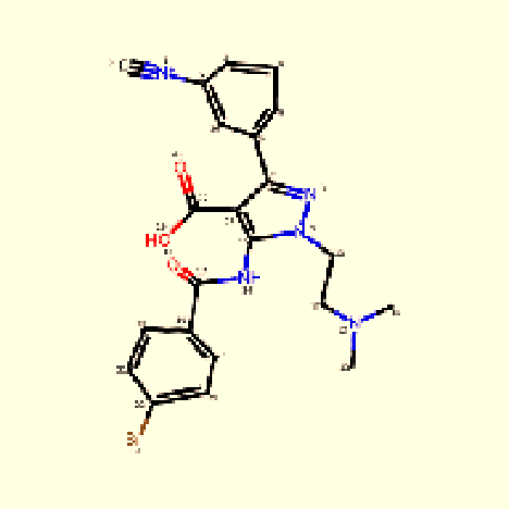 [C-]#[N+]c1cccc(-c2nn(CCN(C)C)c(NC(=O)c3ccc(Br)cc3)c2C(=O)O)c1